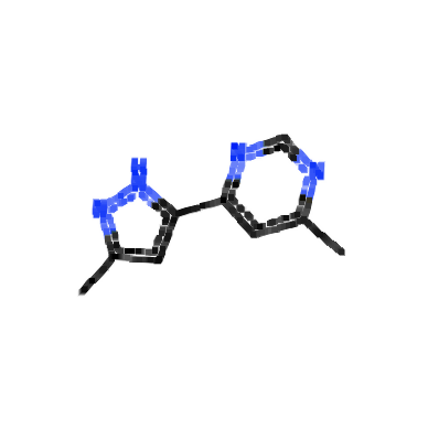 Cc1cc(-c2cc(C)n[nH]2)ncn1